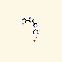 CC(C)(C)OC(=O)N1CCC(n2cc(-c3cncc(-c4ccnc(Cl)c4)c3)cn2)CC1